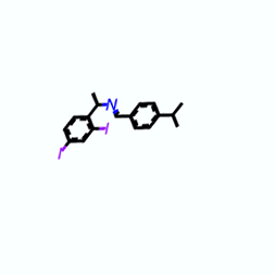 CC(C)c1ccc(C=NC(C)c2ccc(I)cc2I)cc1